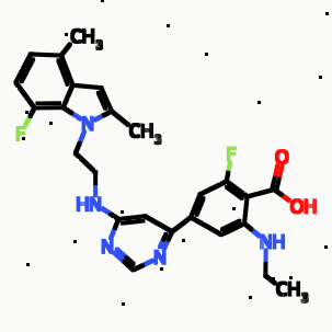 CCNc1cc(-c2cc(NCCn3c(C)cc4c(C)ccc(F)c43)ncn2)cc(F)c1C(=O)O